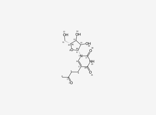 CC(=O)CCc1cn([C@@H]2O[C@H](CO)C(O)C2O)c(=O)[nH]c1=O